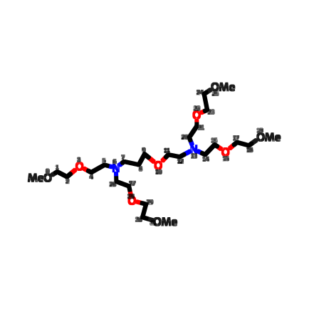 COCCOCCN(CCCOCCN(CCOCCOC)CCOCCOC)CCOCCOC